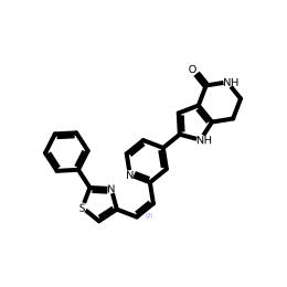 O=C1NCCc2[nH]c(-c3ccnc(/C=C\c4csc(-c5ccccc5)n4)c3)cc21